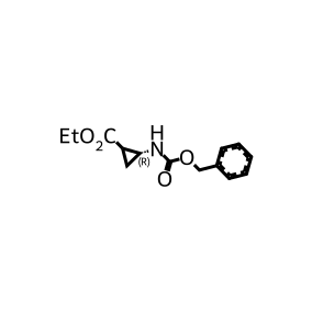 CCOC(=O)C1C[C@H]1NC(=O)OCc1ccccc1